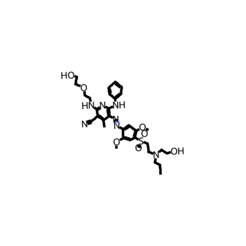 CCCN(CCO)CCS(=O)(=O)c1cc(OC)c(/N=N/c2c(Nc3ccccc3)nc(NCCOCCO)c(C#N)c2C)cc1OC